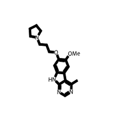 COc1cc2c(cc1OCCCN1CCCC1)[nH]c1ncnc(C)c12